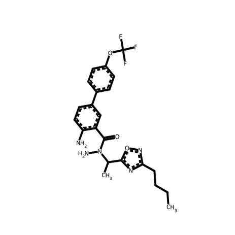 CCCCc1noc(C(C)N(N)C(=O)c2cc(-c3ccc(OC(F)(F)F)cc3)ccc2N)n1